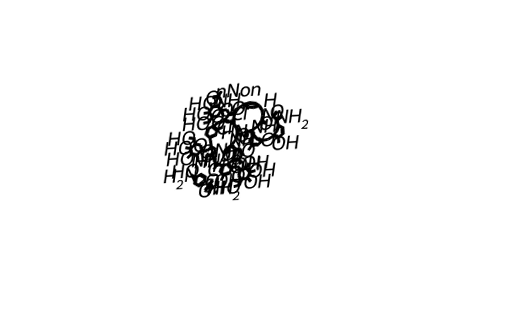 CCCCCCCCCC(=O)NC1C(Oc2c3cc4cc2Oc2ccc(cc2Cl)C(OC2OC(CO)C(O)C(O)C2NC(C)=O)C2NC(=O)C(NC(=O)C4NC(=O)C4NC(=O)C(Cc5ccc(c(Cl)c5)O3)NC(=O)C(N)c3ccc(O)c(c3)Oc3cc(O)cc4c3)c3ccc(O)c(c3)-c3c(OC4OC(CO)C(O)C(O)C4O)cc(O)cc3C(C(=O)O)NC2=O)OC(CO)C(O)C1O.Nc1ccc(S(N)(=O)=O)cc1